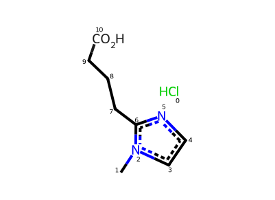 Cl.Cn1ccnc1CCCC(=O)O